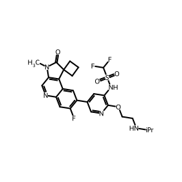 CC(C)NCCOc1ncc(-c2cc3c4c(cnc3cc2F)N(C)C(=O)C42CCC2)cc1NS(=O)(=O)C(F)F